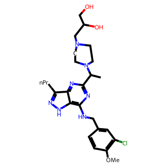 CCCc1n[nH]c2c(NCc3ccc(OC)c(Cl)c3)nc(C(C)N3CCN(CC(O)CO)CC3)nc12